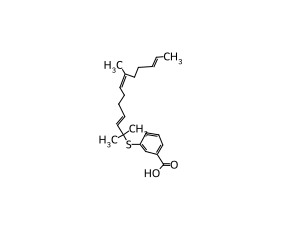 CC=CCCC(C)=CCCC=CC(C)(C)Sc1cccc(C(=O)O)c1